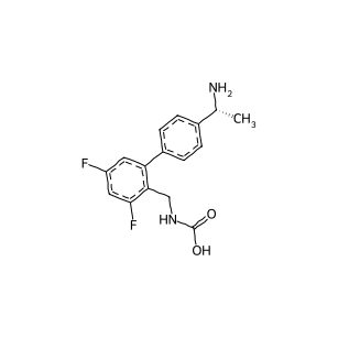 C[C@@H](N)c1ccc(-c2cc(F)cc(F)c2CNC(=O)O)cc1